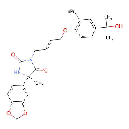 CCCc1cc(C(O)(C(F)(F)F)C(F)(F)F)ccc1OCC=CCN1C(=O)NC(C)(c2ccc3c(c2)OCO3)C1=O